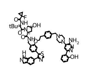 CC(C)(C)[C@H](NC(=O)C1(F)CC1)C(=O)N1C[C@H](O)C[C@H]1C(=O)NCc1ccc(-c2scnc2-c2ccc3cn[nH]c3c2)cc1OCCc1ccc(CN2CCN(c3cc(-c4ccccc4O)nnc3N)CC2)cc1